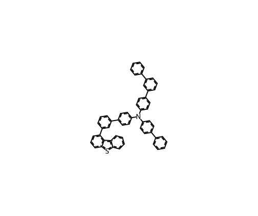 c1ccc(-c2ccc(N(c3ccc(-c4cccc(-c5ccccc5)c4)cc3)c3ccc(-c4cccc(-c5cccc6sc7ccccc7c56)c4)cc3)cc2)cc1